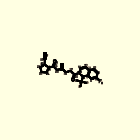 CC(C)(C)C1c2cc(F)ccc2C=CN1C(=O)CCNCC(=O)N1CCCC1C#N